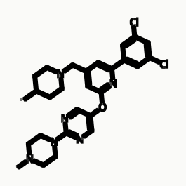 [CH2]C1CCN(Cc2cc(Oc3cnc(N4CCN(C)CC4)nc3)nc(-c3cc(Cl)cc(Cl)c3)c2)CC1